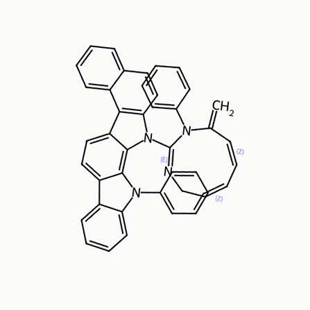 C=C1/C=C\C=C/C/N=C(/n2c3ccc4ccccc4c3c3ccc4c5ccccc5n(-c5ccccc5)c4c32)N1c1ccccc1